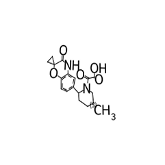 C[C@H]1CCC(c2ccc3c(c2)NC(=O)C2(CC2)O3)N(C(=O)C(=O)O)C1